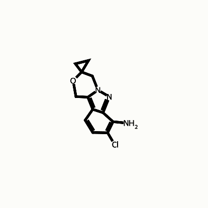 Nc1c(Cl)ccc2c3n(nc12)CC1(CC1)OC3